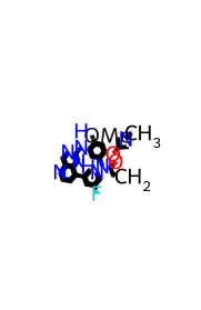 C=CC(=O)Nc1cc(Nc2ncc3nccc(-c4cncc(F)c4)c3n2)c(OC)cc1OC1CN(C)C1